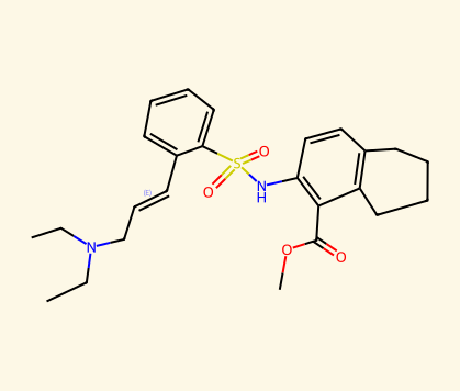 CCN(CC)C/C=C/c1ccccc1S(=O)(=O)Nc1ccc2c(c1C(=O)OC)CCCC2